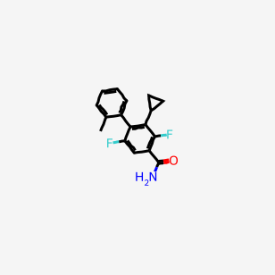 Cc1ccccc1-c1c(F)cc(C(N)=O)c(F)c1C1CC1